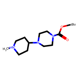 [CH2-][NH+]1CCC(N2CCN(C(=O)OC(C)(C)C)CC2)CC1